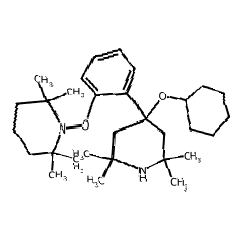 CC1(C)CC(OC2CCCCC2)(c2ccccc2ON2C(C)(C)CCCC2(C)C)CC(C)(C)N1